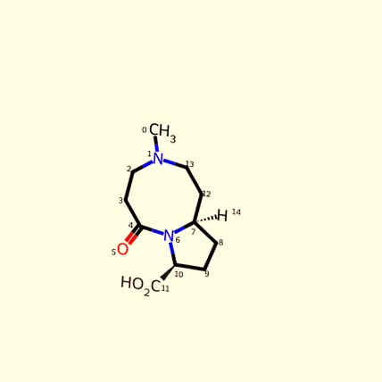 CN1CCC(=O)N2[C@H](CC[C@H]2C(=O)O)CC1